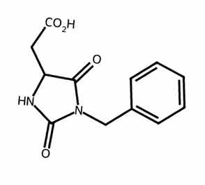 O=C(O)CC1NC(=O)N(Cc2ccccc2)C1=O